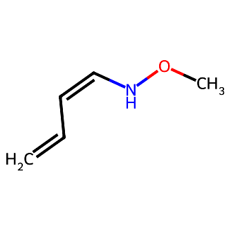 C=C/C=C\NOC